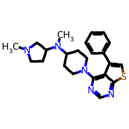 CN1CCC(N(C)C2CCN(c3ncnc4scc(-c5ccccc5)c34)CC2)C1